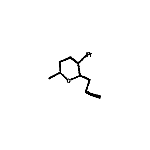 C=CCC1OC(C)CCC1C(C)C